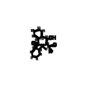 C[N+]1(c2ccccc2)C(C([N])=O)=C(O)c2ccccc2S1(=O)=O